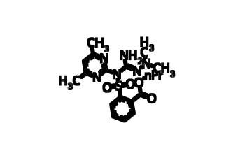 CCCOC(=O)c1ccccc1S(=O)(=O)N(C(N)=NN(C)C)c1nc(C)cc(C)n1